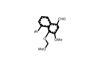 COCOc1c(OC)cc(C=O)c2cccc(C(C)C)c12